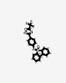 O=S1(=Nc2ccc(-c3noc(C(F)(F)F)n3)cc2)c2ccccc2-c2ccccc21